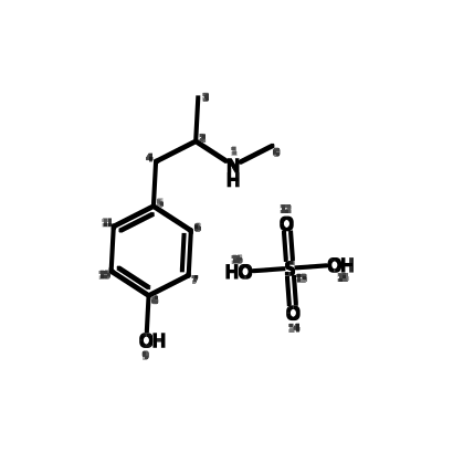 CNC(C)Cc1ccc(O)cc1.O=S(=O)(O)O